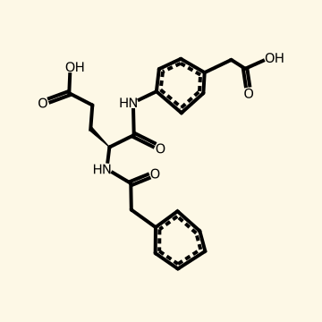 O=C(O)CC[C@H](NC(=O)Cc1ccccc1)C(=O)Nc1ccc(CC(=O)O)cc1